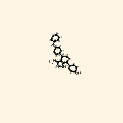 Nc1n[nH]c2c(-c3ccc(O)cc3)ncc(-c3ccc(Oc4ccccc4)cc3)c12